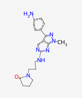 Cn1nc(-c2ccc(N)cc2)c2cnc(NCCCN3CCCC3=O)nc21